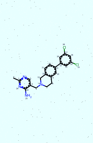 Cc1ncc(CN2CCc3cc(-c4cc(Cl)cc(Cl)c4)ccc3C2)c(N)n1